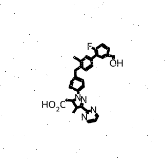 Cc1cc(-c2cc(CO)ccc2F)ccc1Cc1ccc(N2N=C(c3ncccn3)C(C)C2CC(=O)O)cc1